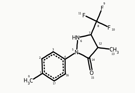 Cc1ccc(N2NC(C(F)(F)F)C(C)C2=O)cc1